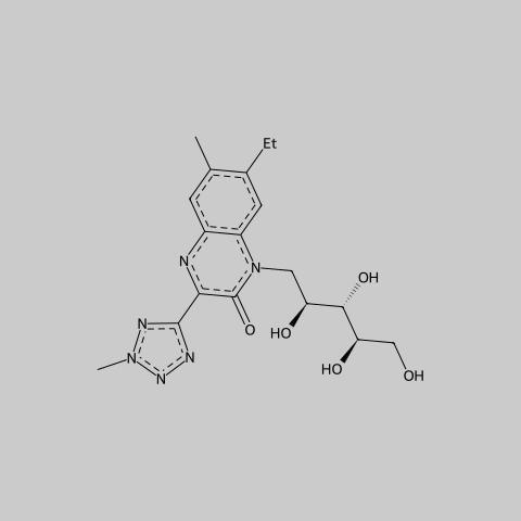 CCc1cc2c(cc1C)nc(-c1nnn(C)n1)c(=O)n2C[C@H](O)[C@H](O)[C@H](O)CO